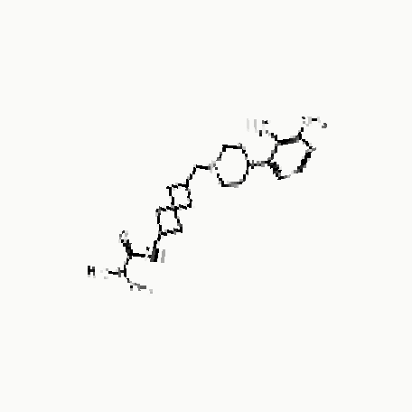 Cc1cccc(N2CCN(CC3CC4(C3)CC(NC(=O)N(C)C)C4)CC2)c1C